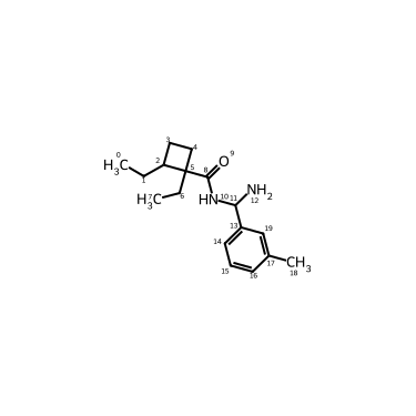 CCC1CCC1(CC)C(=O)NC(N)c1cccc(C)c1